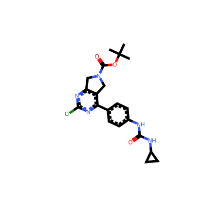 CC(C)(C)OC(=O)N1Cc2nc(Cl)nc(-c3ccc(NC(=O)NC4CC4)cc3)c2C1